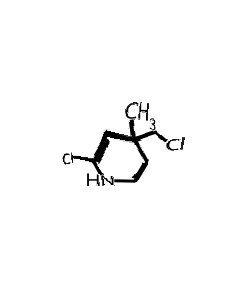 CC1(CCl)C=CNC(Cl)=C1